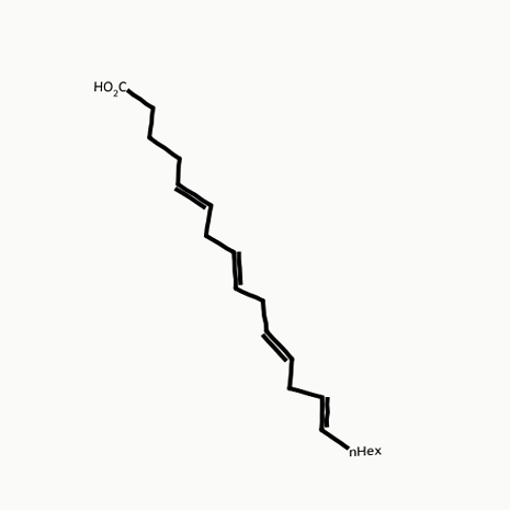 CCCCCCC=CCC=CCC=CCC=CCCCC(=O)O